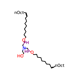 CCCCCCCC/C=C\CCCCCCCCOPCN(CCO)CPOCCCCCCCC/C=C\CCCCCCCC